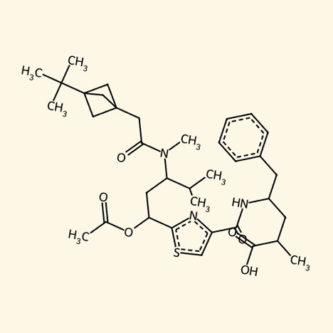 CC(=O)OC(CC(C(C)C)N(C)C(=O)CC12CC(C(C)(C)C)(C1)C2)c1nc(C(=O)NC(Cc2ccccc2)CC(C)C(=O)O)cs1